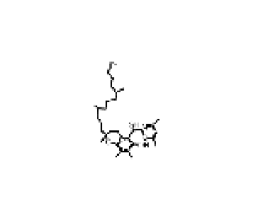 Cc1cc(C)nc(C(S)c2c(O)c(C)c(C)c3c2CCC(C)(CCCC(C)CCCC(C)CCCC(C)C)O3)n1